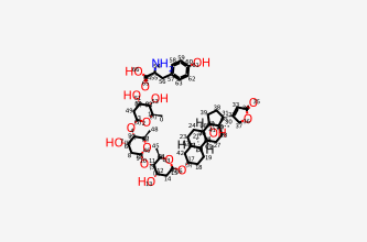 C[C@H]1O[C@@H](O[C@H]2[C@@H](O)C[C@H](O[C@H]3[C@@H](O)C[C@H](O[C@H]4CC[C@@]5(C)[C@H](CC[C@@H]6[C@@H]5CC[C@]5(C)[C@@H](C7=CC(=O)OC7)CC[C@]65O)C4)O[C@@H]3C)O[C@@H]2C)C[C@H](O)[C@@H]1O.NC(Cc1ccc(O)cc1)C(=O)O